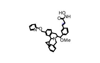 COC(c1cccc(/C=C/C(=O)NO)c1)C1Cc2ccc(COc3ccccn3)cc2C(C2CC2)N1Cc1ccccc1